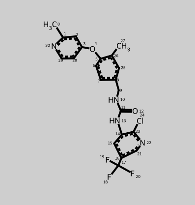 Cc1cc(Oc2ccc(CNC(=O)Nc3cc(C(F)(F)F)cnc3Cl)cc2C)ccn1